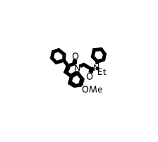 CCN(C(=O)Cn1c(=O)c(C2CCCCC2)cc2ccc(OC)cc21)C1CCCCC1